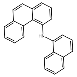 c1ccc2c(Nc3cccc4ccc5ccccc5c34)cccc2c1